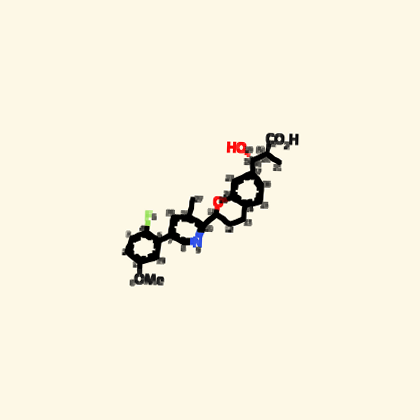 COc1ccc(F)c(-c2cnc(C3CCc4ccc([C@H](O)[C@H](C)C(=O)O)cc4O3)c(C)c2)c1